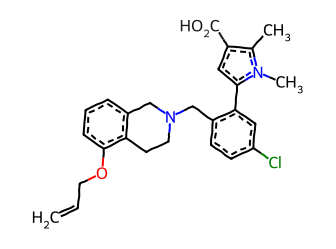 C=CCOc1cccc2c1CCN(Cc1ccc(Cl)cc1-c1cc(C(=O)O)c(C)n1C)C2